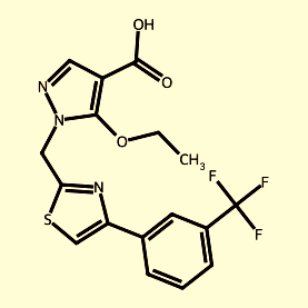 CCOc1c(C(=O)O)cnn1Cc1nc(-c2cccc(C(F)(F)F)c2)cs1